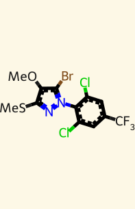 COc1c(SC)nn(-c2c(Cl)cc(C(F)(F)F)cc2Cl)c1Br